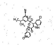 COP(=O)(c1cc(C#N)cc(C(C)C)c1)c1c(C(=O)NCc2ccc[n+]([O-])c2)[nH]c2ccc(Cl)cc12